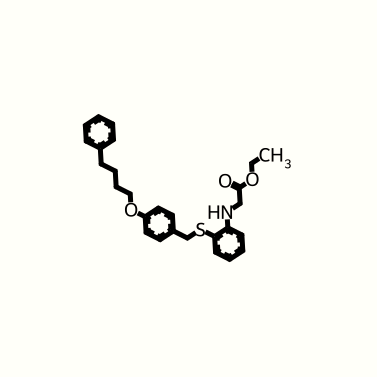 CCOC(=O)CNc1ccccc1SCc1ccc(OCCCCc2ccccc2)cc1